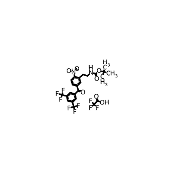 CC(C)(C)OC(=O)NCCc1cc(C(=O)c2cc(C(F)(F)F)cc(C(F)(F)F)c2)ccc1[N+](=O)[O-].O=C(O)C(F)(F)F